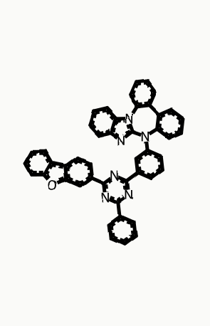 c1ccc(-c2nc(-c3cccc(N4c5ccccc5-c5ccccc5-n5c4nc4ccccc45)c3)nc(-c3ccc4c(c3)oc3ccccc34)n2)cc1